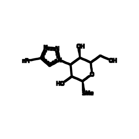 CCCc1cn(C2C(O)[C@H](SC)OC(CO)[C@@H]2O)nn1